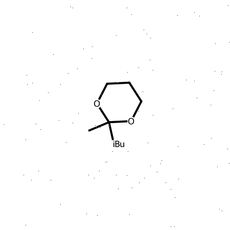 CCC(C)C1(C)OCCCO1